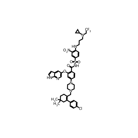 CC1(C)CCC(CN2CCN(c3ccc(C(=O)NS(=O)(=O)c4ccc(NCCCN(CC(F)(F)F)C5CC5)c([N+](=O)[O-])c4)c(Oc4cnc5[nH]ccc5c4)c3)CC2)=C(c2ccc(Cl)cc2)C1